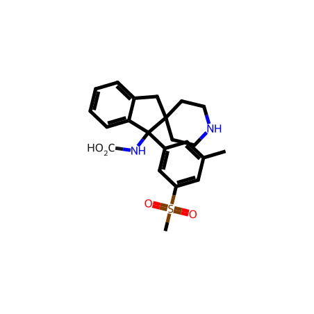 Cc1cc(C2(NC(=O)O)c3ccccc3CC23CCNCC3)cc(S(C)(=O)=O)c1